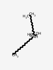 CCCCCCCCCCCCCCCCCC(=O)NC(CO)C(O)CCCCCCCCCCCC(C)C